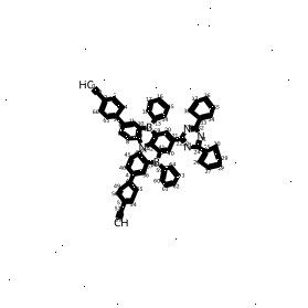 C#Cc1ccc(-c2ccc3c(c2)B(c2ccccc2)c2cc(-c4nc(-c5ccccc5)nc(-c5ccccc5)n4)cc4c2N3c2ccc(-c3ccc(C#C)cc3)cc2B4c2ccccc2)cc1